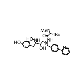 CNC(C(=O)NN(Cc1ccc(-c2ccccn2)cc1)CC(O)C(Cc1ccc(O)cc1)NO)C(C)(C)C